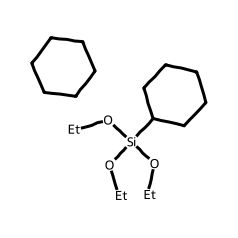 C1CCCCC1.CCO[Si](OCC)(OCC)C1CCCCC1